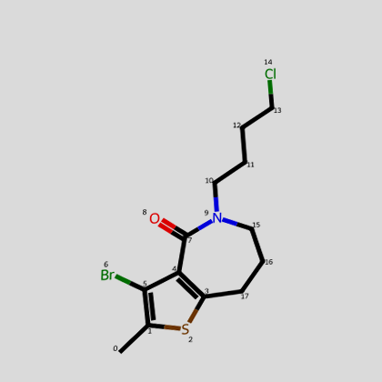 Cc1sc2c(c1Br)C(=O)N(CCCCCl)CCC2